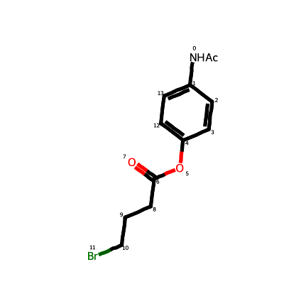 CC(=O)Nc1ccc(OC(=O)CCCBr)cc1